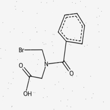 O=C(O)CN(CBr)C(=O)c1ccccc1